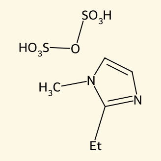 CCc1nccn1C.O=S(=O)(O)OS(=O)(=O)O